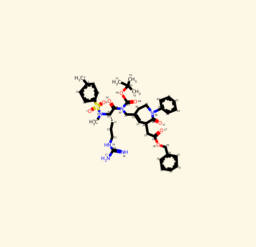 Cc1ccc(S(=O)(=O)N(C)[C@@H](CCCNC(=N)N)C(=O)N(CC2=CC(CC(=O)OCc3ccccc3)C(=O)N(c3ccccc3)CC2)C(=O)OC(C)(C)C)cc1